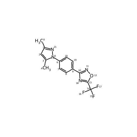 Cc1cc(C)n(-c2ccc(-c3noc(C(F)(F)F)n3)cc2)n1